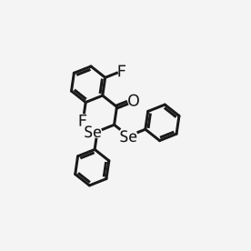 O=C(c1c(F)cccc1F)C([Se]c1ccccc1)[Se]c1ccccc1